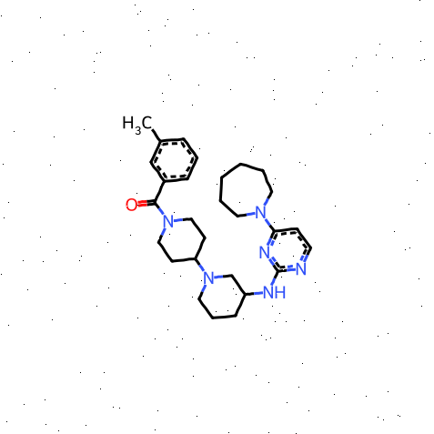 Cc1cccc(C(=O)N2CCC(N3CCCC(Nc4nccc(N5CCCCCC5)n4)C3)CC2)c1